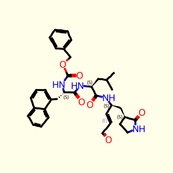 CC(C)C[C@H](NC(=O)[C@H](Cc1cccc2ccccc12)NC(=O)OCc1ccccc1)C(=O)N[C@H](/C=C/C=O)C[C@@H]1CCNC1=O